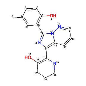 Cc1ccc(O)c(-c2nc(C3=C(O)CCC=N3)c3cccnn23)c1